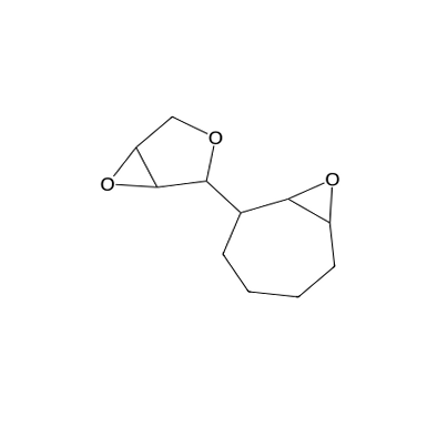 C1CCC(C2OCC3OC32)C2OC2C1